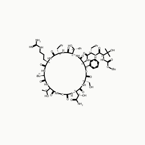 CC[C@H](C)C1NC(=O)[C@@H](CCCNC(=N)N)NC(=O)[C@H](CC(C)C)NC(=O)[C@H]([C@H](O)C(C)C)NC(=O)[C@@H](NC(=O)[C@H](CC(C)C)NC(=O)[C@H](NC(=O)OC(C)(C)C)C(C)(C)O)[C@@H](c2ccccc2)OC(=O)[C@H](CO)NC(=O)[C@H]([C@H](O)C(N)=O)NC(=O)CNC(=O)C([C@H](C)O)NC1=O